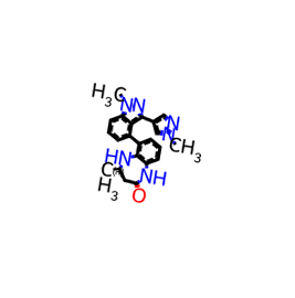 C[C@@H]1CC(=O)Nc2cccc(-c3cccc4c3c(-c3cnn(C)c3)nn4C)c2N1